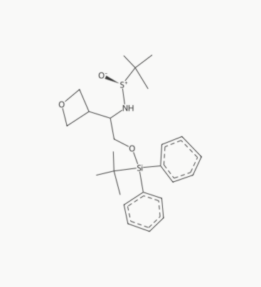 CC(C)(C)[S@+]([O-])NC(CO[Si](c1ccccc1)(c1ccccc1)C(C)(C)C)C1COC1